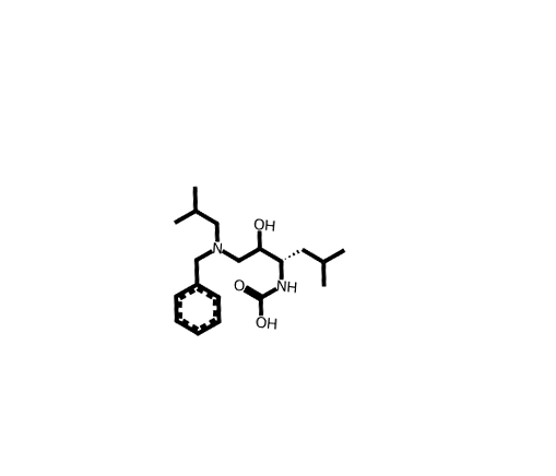 CC(C)C[C@H](NC(=O)O)C(O)CN(Cc1ccccc1)CC(C)C